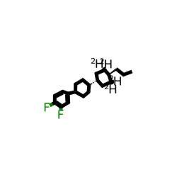 [2H]C1([2H])C[C@H](C2CCC(c3ccc(F)c(F)c3)CC2)CC([2H])([2H])[C@H]1CCC